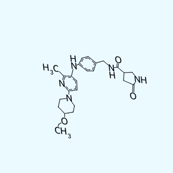 CCOC1CCN(c2ccc(Nc3ccc(CNC(=O)C4CNC(=O)C4)cc3)c(C)n2)CC1